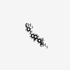 CCc1ccc(CCc2ccc3c(F)c(-c4ccc(OC)c(F)c4)ccc3c2)cc1